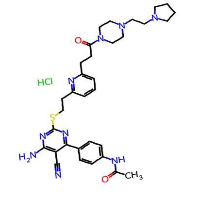 CC(=O)Nc1ccc(-c2nc(SCCc3cccc(CCC(=O)N4CCN(CCN5CCCC5)CC4)n3)nc(N)c2C#N)cc1.Cl